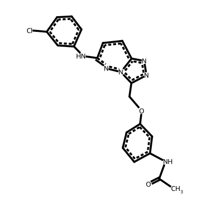 CC(=O)Nc1cccc(OCc2nnc3ccc(Nc4cccc(Cl)c4)nn23)c1